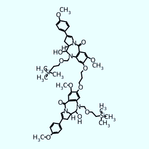 COc1ccc(C2=CN3C(=O)c4cc(OC)c(OCCCOc5cc6c(cc5OC)C(=O)N5C=C(c7ccc(OC)cc7)C[C@H]5C(O)N6COCC[Si](C)(C)C)cc4N(COCC[Si](C)(C)C)C(O)[C@@H]3C2)cc1